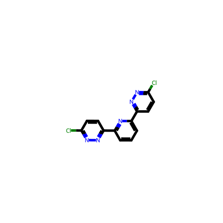 Clc1ccc(-c2cccc(-c3ccc(Cl)nn3)n2)nn1